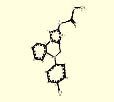 COC(=O)Oc1nc2n(n1)-c1ccccc1N(c1ccc(Cl)cc1)C2